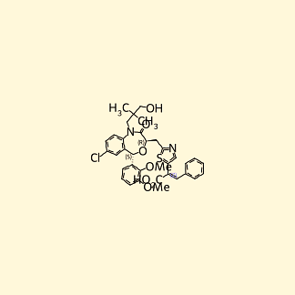 COc1cccc([C@H]2O[C@H](Cc3ncc(/C(=C\c4ccccc4)C(=O)O)s3)C(=O)N(CC(C)(C)CO)c3ccc(Cl)cc32)c1OC